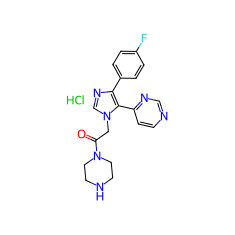 Cl.O=C(Cn1cnc(-c2ccc(F)cc2)c1-c1ccncn1)N1CCNCC1